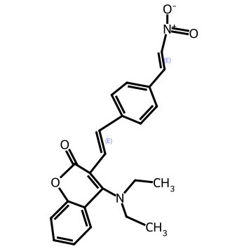 CCN(CC)c1c(/C=C/c2ccc(/C=C/[N+](=O)[O-])cc2)c(=O)oc2ccccc12